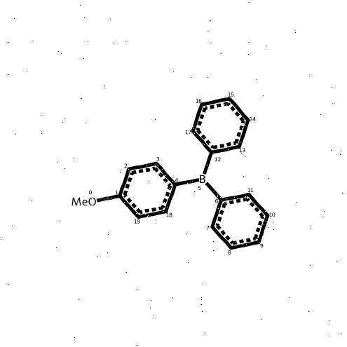 COc1ccc(B(c2ccccc2)c2ccccc2)cc1